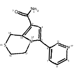 NC(=O)c1cc(-c2cccnc2)n2c1CSCC2